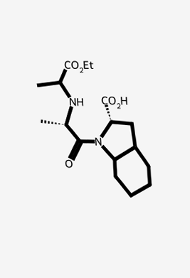 CCOC(=O)C(C)N[C@@H](C)C(=O)N1C2CCCCC2C[C@H]1C(=O)O